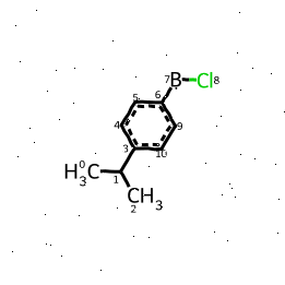 CC(C)c1ccc([B]Cl)cc1